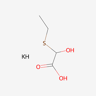 CCSC(O)C(=O)O.[KH]